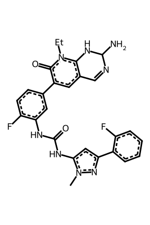 CCn1c2c(cc(-c3ccc(F)c(NC(=O)Nc4cc(-c5ccccc5F)nn4C)c3)c1=O)C=NC(N)N2